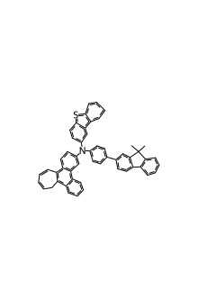 CC1(C)c2ccccc2-c2ccc(-c3ccc(N(c4ccc5sc6ccccc6c5c4)c4ccc5c6c(c7ccccc7c5c4)CC=CC=C6)cc3)cc21